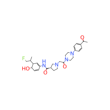 CC(=O)c1ccc(N2CCN(C(=O)CN3CC[C@@H](C(=O)NC4=CC(C(C)CF)C(O)C=C4)C3)CC2)cc1